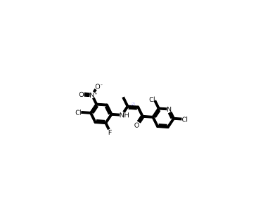 C/C(=C/C(=O)c1ccc(Cl)nc1Cl)Nc1cc([N+](=O)[O-])c(Cl)cc1F